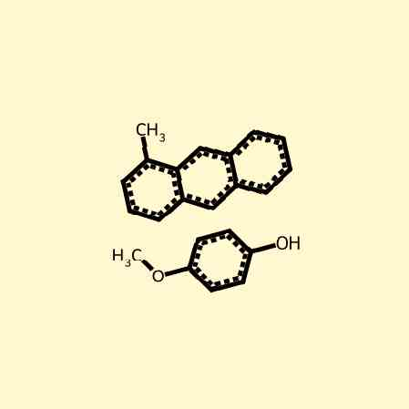 COc1ccc(O)cc1.Cc1cccc2cc3ccccc3cc12